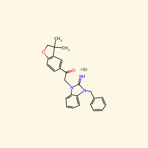 Br.CC1(C)COc2ccc(C(=O)Cn3c(=N)n(Cc4ccccc4)c4ccccc43)cc21